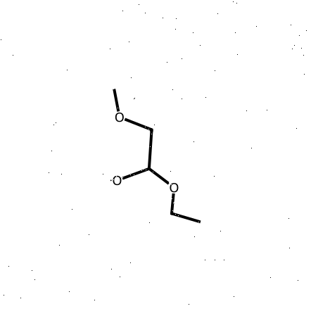 CCOC([O])COC